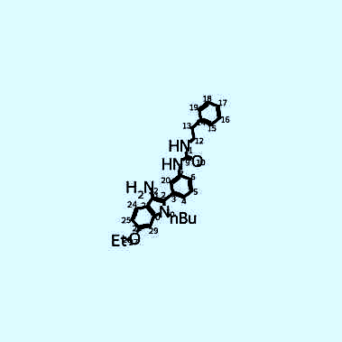 CCCCn1c(-c2cccc(NC(=O)NCCc3ccccc3)c2)c(N)c2ccc(OCC)cc21